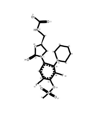 CCC(=O)NC[C@H]1CN(c2cc(F)c(OS(C)(=O)=O)c(F)c2N2CCCCC2)C(=O)O1